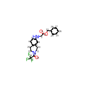 O=C(CNc1ccc2c(c1)CCN(C(=O)C(F)(F)F)CC2)OCc1ccccc1